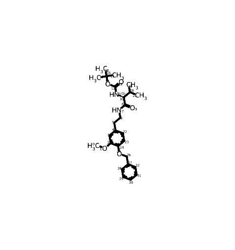 COc1cc(CCNC(=O)[C@@H](NC(=O)OC(C)(C)C)C(C)C)ccc1OCc1ccccc1